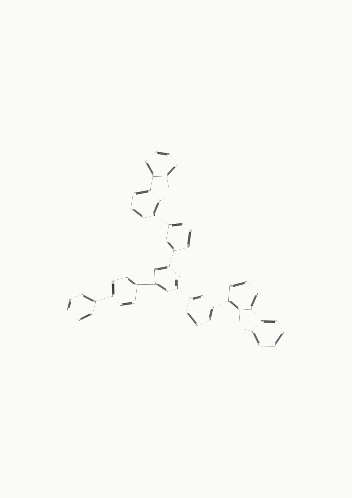 c1ccc(-c2ccc(-c3cc(-c4cccc(-c5cccc6c5oc5ccccc56)c4)nc(-c4cccc(-c5cccc6c5oc5ccccc56)c4)c3)cc2)cc1